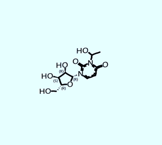 CC(O)n1c(=O)ccn([C@@H]2O[C@H](CO)[C@@H](O)[C@H]2O)c1=O